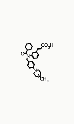 CN1CCN(c2ccc(CN(C(=O)C3CCCCC3)c3cccc(C=CC(=O)O)c3)cc2)CC1